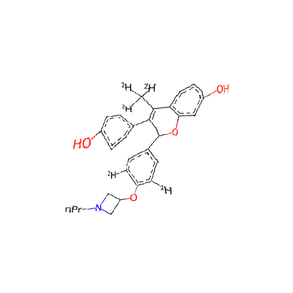 [2H]c1cc(C2Oc3cc(O)ccc3C(C([2H])([2H])[2H])=C2c2ccc(O)cc2)cc([2H])c1OC1CN(CCC)C1